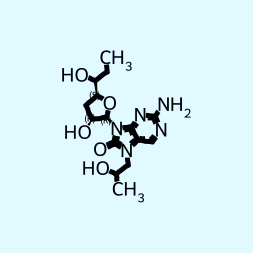 CCC(O)[C@@H]1C[C@@H](O)[C@H](n2c(=O)n(CC(C)O)c3cnc(N)nc32)O1